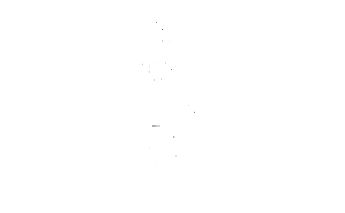 CC(C#N)=C1c2ccc(Cc3c(C4CC4)nc4c(C(N)=O)cccn34)cc2COc2cc(F)ccc21